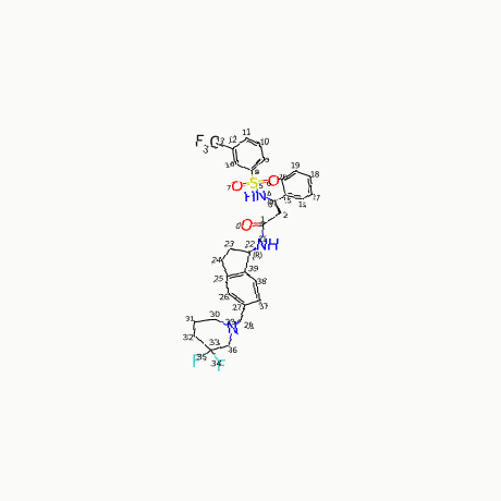 O=C(C[C@@H](NS(=O)(=O)c1cccc(C(F)(F)F)c1)c1ccccc1)N[C@@H]1CCc2cc(CN3CCCC(F)(F)C3)ccc21